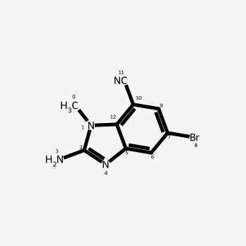 Cn1c(N)nc2cc(Br)cc(C#N)c21